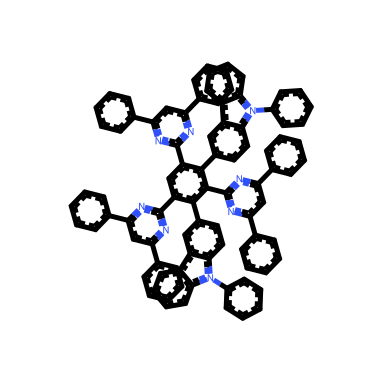 c1ccc(-c2cc(-c3ccccc3)nc(-c3cc(-c4nc(-c5ccccc5)cc(-c5ccccc5)n4)c(-c4ccc5c(c4)c4ccccc4n5-c4ccccc4)c(-c4nc(-c5ccccc5)cc(-c5ccccc5)n4)c3-c3ccc4c(c3)c3ccccc3n4-c3ccccc3)n2)cc1